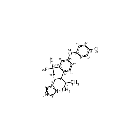 CC(C)C(Cn1cncn1)c1ccc(Oc2ccc(Cl)cc2)cc1C(F)(F)F